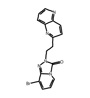 O=c1n(CCc2ccc3ncccc3n2)nc2c(Br)cccn12